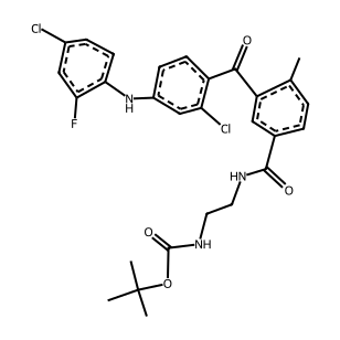 Cc1ccc(C(=O)NCCNC(=O)OC(C)(C)C)cc1C(=O)c1ccc(Nc2ccc(Cl)cc2F)cc1Cl